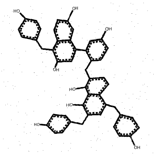 Oc1ccc(Cc2cc(Cc3ccc(O)cc3)c3ccc(Cc4ccc(O)cc4-c4cc(O)c(Cc5ccc(O)cc5)c5ccc(O)cc45)c(O)c3c2O)cc1